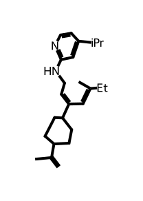 C=C(C)C1CCC(C(=C/CNc2cc(C(C)C)ccn2)/C=C(\C)CC)CC1